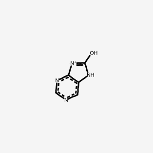 OC1=[N+]c2ncncc2N1